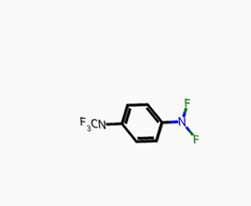 FN(F)c1ccc(NC(F)(F)F)cc1